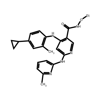 CCONC(=O)c1cnc(Nc2cccc(C)n2)cc1Nc1ccc(C2CC2)cc1C